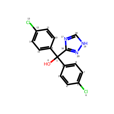 OC(c1ccc(Cl)cc1)(c1ccc(Cl)cc1)c1nc[nH]n1